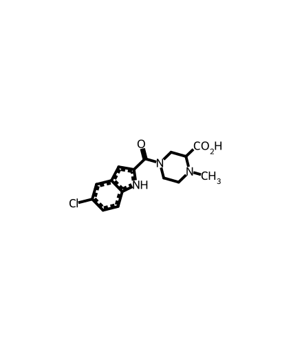 CN1CCN(C(=O)c2cc3cc(Cl)ccc3[nH]2)CC1C(=O)O